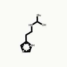 CC(C)(C)C(O)NCCc1cnc[nH]1